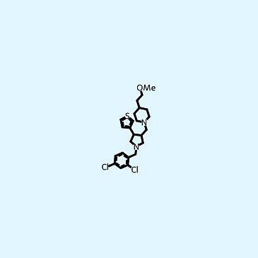 COCCC1CCN(CC2CN(Cc3ccc(Cl)cc3Cl)CC2c2ccsc2)CC1